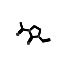 C=CN1CCN(C(C)=O)C1=O